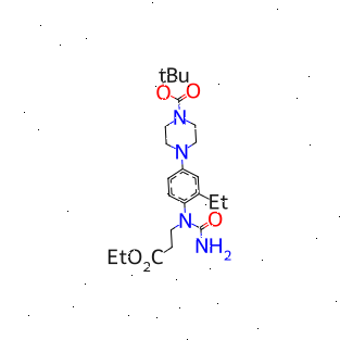 CCOC(=O)CCN(C(N)=O)c1ccc(N2CCN(C(=O)OC(C)(C)C)CC2)cc1CC